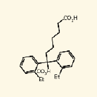 CCc1ccccc1C(CCCCCC(=O)O)(C(=O)O)c1ccccc1CC